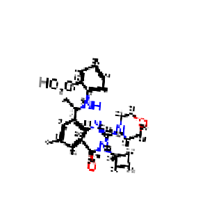 Cc1cc(C(C)Nc2ccccc2C(=O)O)c2nc(N3CCOCC3)n(C3CCC3)c(=O)c2c1